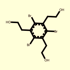 OCCc1c(Br)c(CCO)c(Br)c(CCO)c1Br